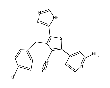 [C-]#[N+]c1c(-c2ccnc(N)c2)sc(-c2nnc[nH]2)c1Cc1ccc(Cl)cc1